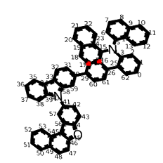 c1ccc(N(c2cccc3ccccc23)c2cccc3ccccc23)c(-c2ccc(-c3ccc4c5ccccc5n(-c5ccc6oc7ccc8ccccc8c7c6c5)c4c3)cc2)c1